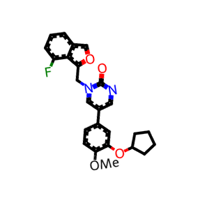 COc1ccc(-c2cnc(=O)n(Cc3occ4cccc(F)c34)c2)cc1OC1CCCC1